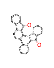 O=c1c2ccccc2c2c1c1ccccc1c1ccc3c4ccccc4c(=O)c3c12